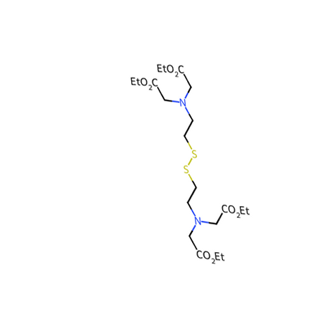 CCOC(=O)CN(CCSSCCN(CC(=O)OCC)CC(=O)OCC)CC(=O)OCC